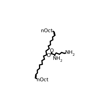 CCCCCCCC/C=C\CCCCCCCCC(CCCCCCC/C=C\CCCCCCCC)OC(=O)C(N)CCCCN